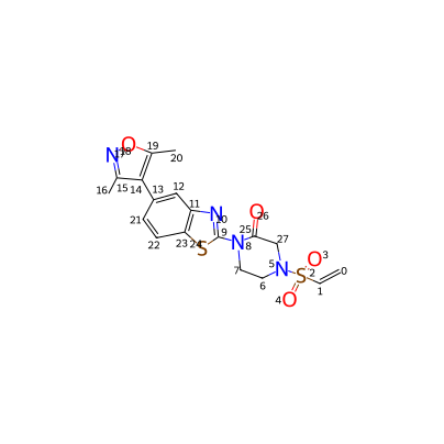 C=CS(=O)(=O)N1CCN(c2nc3cc(-c4c(C)noc4C)ccc3s2)C(=O)C1